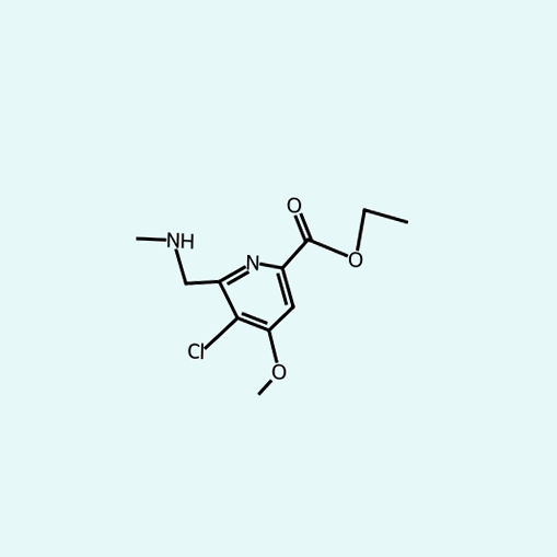 CCOC(=O)c1cc(OC)c(Cl)c(CNC)n1